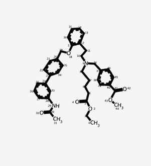 CCOC(=O)CCCCN(CCc1ccccc1OCc1ccc(-c2cccc(NC(C)=O)c2)cc1)Cc1ccc(C(=O)OC)cc1